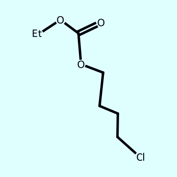 CCOC(=O)OCCCCCl